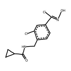 O=C(NCc1ccc(C(Cl)=NO)cc1Cl)C1CC1